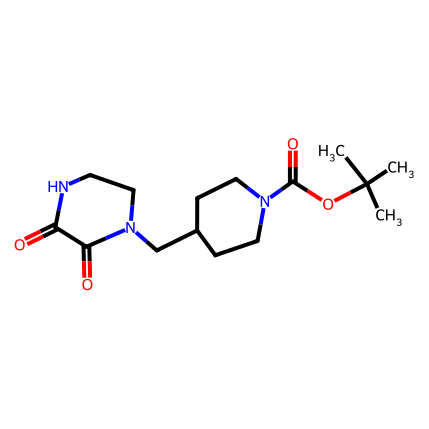 CC(C)(C)OC(=O)N1CCC(CN2CCNC(=O)C2=O)CC1